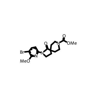 COC(=O)N1CCC2(CC1)CCN(c1ccc(Br)c(OC)n1)C2=O